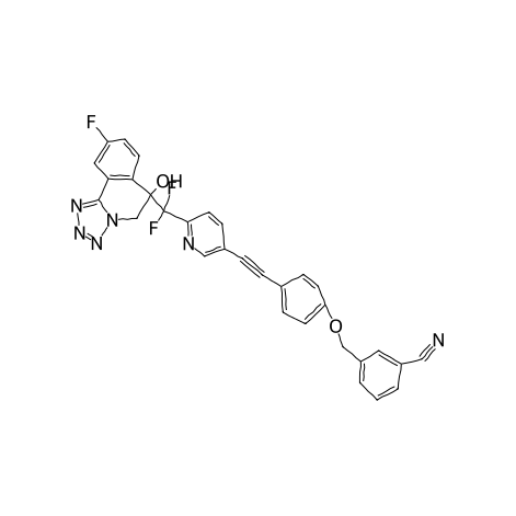 N#Cc1cccc(COc2ccc(C#Cc3ccc(C(F)(F)C4(O)Cn5nnnc5-c5cc(F)ccc54)nc3)cc2)c1